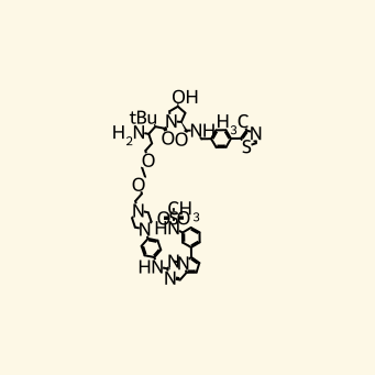 Cc1ncsc1-c1ccc(CNC(=O)[C@@H]2C[C@@H](O)CN2C(=O)[C@H](C(N)CCOCCOCCN2CCN(c3ccc(Nc4ncc5ccc(-c6cccc(NS(C)(=O)=O)c6)n5n4)cc3)CC2)C(C)(C)C)cc1